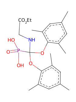 CCOC(=O)CNC(Oc1c(C)cc(C)cc1C)(Oc1c(C)cc(C)cc1C)P(=O)(O)O